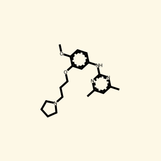 COc1ccc(Nc2nc(C)cc(C)n2)cc1OCCCN1CCCC1